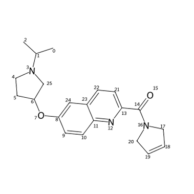 CC(C)N1CCC(Oc2ccc3nc(C(=O)N4CC=CC4)ccc3c2)C1